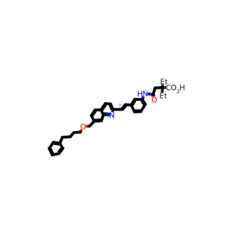 CCC(CC)(CC(=O)Nc1cccc(/C=C/c2ccc3ccc(COCCCCc4ccccc4)cc3n2)c1)C(=O)O